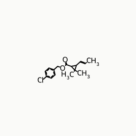 CC=CC1C(C(=O)OCc2ccc(Cl)cc2)C1(C)C